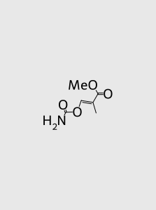 COC(=O)C(C)=COC(N)=O